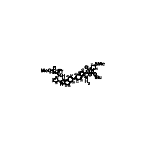 COC(=O)NC(C(=O)N1CCC[C@H]1c1nc2ccc3cc(-c4ccc5c(N)c(NC(=O)[C@@H]6C[C@H](SC)CN6C(=O)OC(C)(C)C)ccc5c4)ccc3c2[nH]1)C(C)C